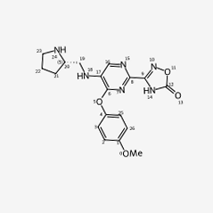 COc1ccc(Oc2nc(-c3noc(=O)[nH]3)ncc2NC[C@@H]2CCCN2)cc1